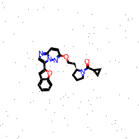 O=C(C1CC1)N1CCC[C@H]1CCOc1ccc2ncc(-c3cc4ccccc4o3)n2n1